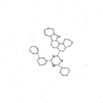 c1ccc(-c2cccc(-c3nc(-c4ccccc4)nc(-c4cc5ccccc5c5c4ccc4c6ccccc6[se]c45)n3)c2)cc1